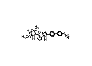 COC(=O)N[C@H](C(=O)N1CCC[C@H]1c1ncc(-c2ccc(-c3ccc(N=[N+]=[N-])cc3)cc2)[nH]1)C(C)C